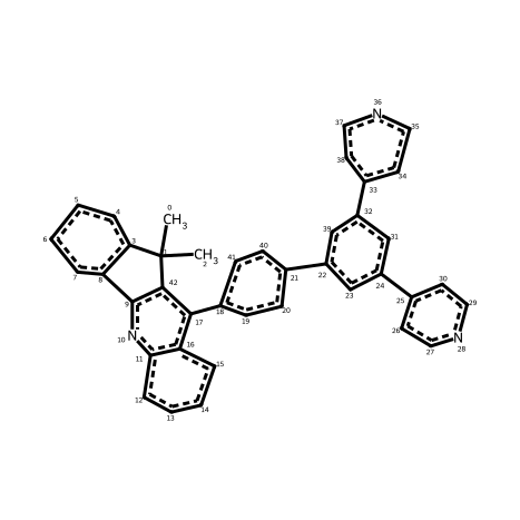 CC1(C)c2ccccc2-c2nc3ccccc3c(-c3ccc(-c4cc(-c5ccncc5)cc(-c5ccncc5)c4)cc3)c21